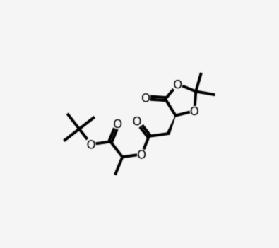 CC(OC(=O)C[C@@H]1OC(C)(C)OC1=O)C(=O)OC(C)(C)C